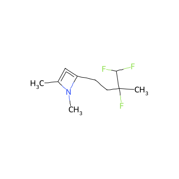 CC1=C=C(CCC(C)(F)C(F)F)N1C